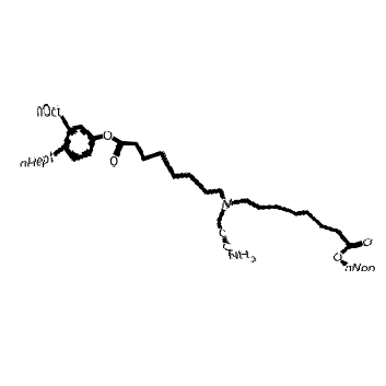 CCCCCCCCCOC(=O)CCCCCCCN(CCCN)CCCCCCCC(=O)Oc1ccc(CCCCCCC)c(CCCCCCCC)c1